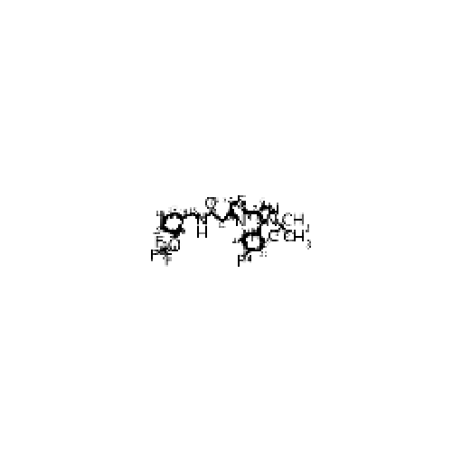 CC(C)(C)n1ncc(-c2nc(CC(=O)NCc3cccc(OC(F)(F)F)c3)cs2)c1-c1ccc(F)cc1